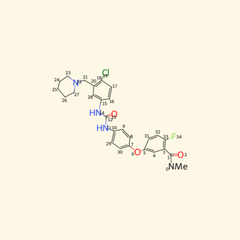 CNC(=O)c1cc(Oc2ccc(NC(=O)Nc3ccc(Cl)c(CN4CCCCC4)c3)cc2)ccc1F